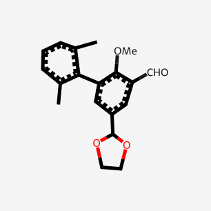 COc1c(C=O)cc(C2OCCO2)cc1-c1c(C)cccc1C